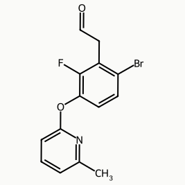 Cc1cccc(Oc2ccc(Br)c(CC=O)c2F)n1